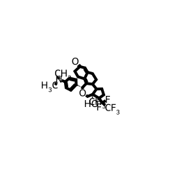 CN(C)c1ccc([C@H]2OC[C@@]3(C)C(CC[C@@]3(O)C(F)(F)C(F)(F)F)C3CCC4=CC(=O)CCC4=C32)cc1